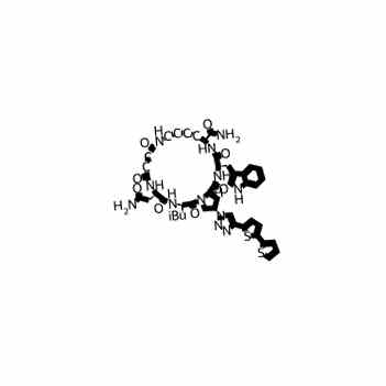 CC[C@H](C)[C@@H]1NC(=O)[C@H](CC(N)=O)NC(=O)CCC(=O)NCCCC[C@@H](C(N)=O)NC(=O)[C@H](Cc2c[nH]c3ccccc23)NC(=O)[C@@H]2C[C@H](n3cc(-c4ccc(-c5cccs5)s4)nn3)CN2C1=O